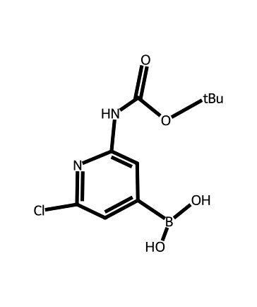 CC(C)(C)OC(=O)Nc1cc(B(O)O)cc(Cl)n1